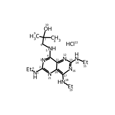 CCNc1nc(NCC(C)(C)O)c2nc(NCC)nc(NCC)c2n1.Cl